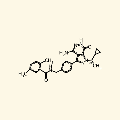 Cc1ccc(C)c(C(=O)NCc2ccc(-c3nn([C@H](C)C4CC4)c4c(=O)[nH]nc(N)c34)cc2)c1